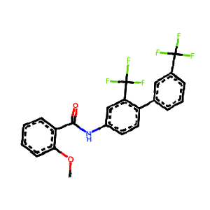 COc1ccccc1C(=O)Nc1ccc(-c2cccc(C(F)(F)F)c2)c(C(F)(F)F)c1